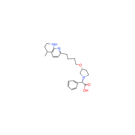 CC1CCNc2nc(CCCCO[C@@H]3CCN([C@@H](C(=O)O)c4ccccc4)C3)ccc21